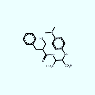 CN(C)c1ccc(NC(C(=O)O)C(NC(=O)C(CS)Cc2ccccc2)C(=O)O)cc1